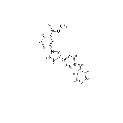 COC(=O)c1cc(-n2cc(-c3ccc(Oc4ccccc4)cc3)nn2)ccn1